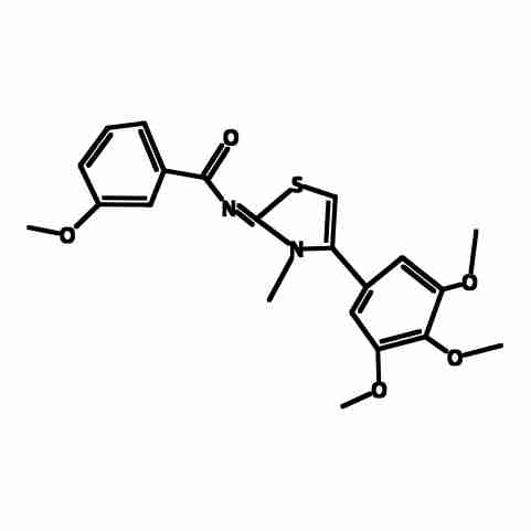 COc1cccc(C(=O)/N=c2\scc(-c3cc(OC)c(OC)c(OC)c3)n2C)c1